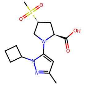 Cc1cc(N2C[C@H](S(C)(=O)=O)C[C@H]2C(=O)O)n(C2CCC2)n1